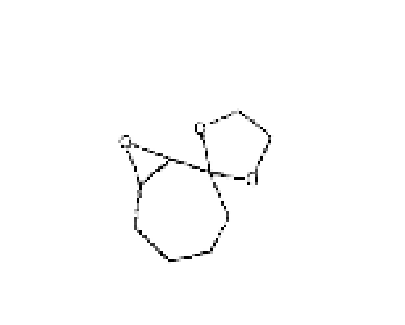 C1CCC2(OCCO2)C2OC2C1